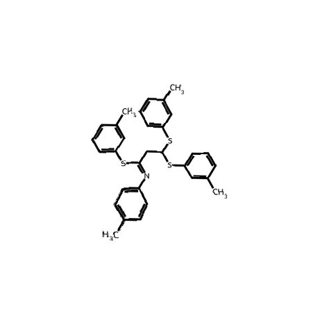 Cc1ccc(N=C(CC(Sc2cccc(C)c2)Sc2cccc(C)c2)Sc2cccc(C)c2)cc1